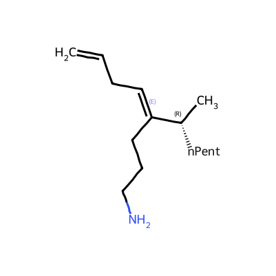 C=CC/C=C(\CCCN)[C@H](C)CCCCC